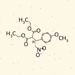 CCOC(=O)C(C(=O)OCC)[C@@H](C[N+](=O)[O-])c1ccc(OC)cc1